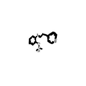 C[SiH](C)Oc1ccccc1N=CCc1ccncc1